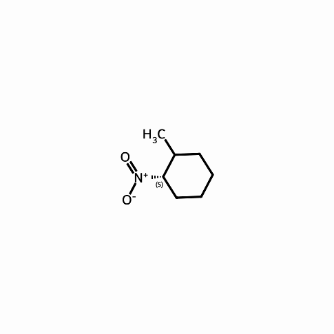 CC1CCCC[C@@H]1[N+](=O)[O-]